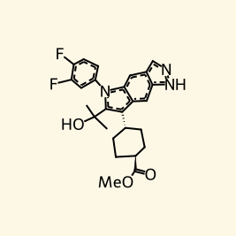 COC(=O)[C@H]1CC[C@H](c2c(C(C)(C)O)n(-c3ccc(F)c(F)c3)c3cc4cn[nH]c4cc32)CC1